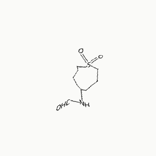 O=CNC1CCS(=O)(=O)CC1